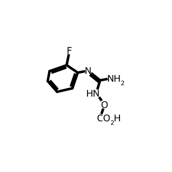 NC(=Nc1ccccc1F)NOC(=O)O